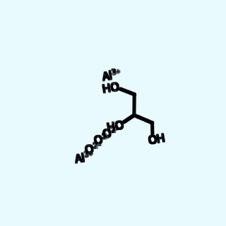 OCC(O)CO.[Al+3].[Al+3].[O-2].[O-2].[O-2]